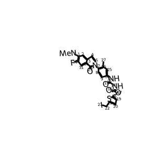 CNc1cc2ccn(-c3ccc(NC(=O)NS(=O)(=O)c4ccc(CI)s4)cc3C)c(=O)c2cc1F